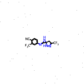 N#Cc1ccc(/N=C2\NC23CC(C(F)(F)F)=NN3)cc1C(F)(F)F